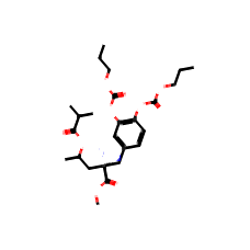 CCCOC(=O)Oc1ccc(C[C@](N)(CC(C)OC(=O)C(C)C)C(=O)OC)cc1OC(=O)OCCC